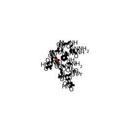 Cc1cn(C2CN(P(=O)(OCC3CN(P(=O)(OCC4CN(P(=O)(OCC5CN(P(=O)(OCC6CNCC(n7cnc8c(=O)[nH]c(N)nc87)O6)N(C)C)CC(n6cnc7c(N)cccc76)O5)N(C)C)CC(n5cc(C)c(=O)[nH]c5=O)O4)N(C)C)CC(n4ccc(N)nc4=O)O3)N(C)C)CC(COP(=O)(C(C)C)N(C)C)O2)c(=O)[nH]c1=O